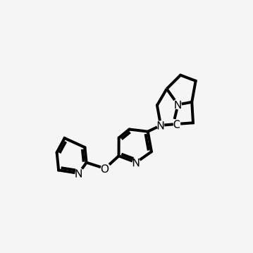 CN1C2CCC1CN(c1ccc(Oc3ccccn3)nc1)CC2